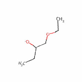 CCOCC([O])CC